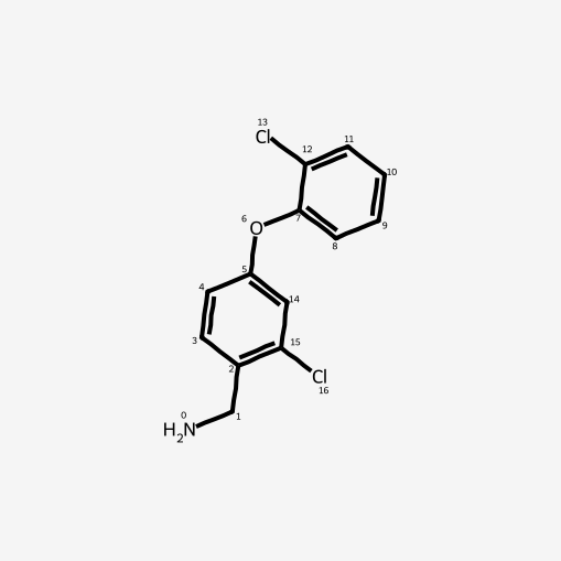 NCc1ccc(Oc2ccccc2Cl)cc1Cl